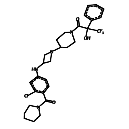 O=C(c1ccc(NC2CN(C3CCN(C(=O)C(O)(c4ccccc4)C(F)(F)F)CC3)C2)cc1Cl)N1CCCCC1